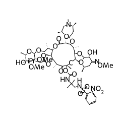 CON=C1C[C@@H](C)O[C@@H](O[C@@H]2[C@@H](C)[C@H](O[C@H]3C[C@H](C)N(C)C[C@H](C)O3)[C@@H](C)C(=O)O[C@H]([C@@H](C)CO[C@@H]3O[C@H](C)[C@@H](O)[C@@H](OC)[C@H]3OC)[C@H](C)[C@@H](OC(=O)CC(C)C)[C@@H](C)C(=O)[C@@](C)(OC(=O)NC(C)(C)CNS(=O)(=O)c3ccccc3[N+](=O)[O-])C[C@@H]2C)[C@@H]1O